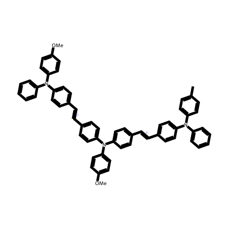 COc1ccc(N(c2ccccc2)c2ccc(/C=C/c3ccc(N(c4ccc(/C=C/c5ccc(N(c6ccccc6)c6ccc(C)cc6)cc5)cc4)c4ccc(OC)cc4)cc3)cc2)cc1